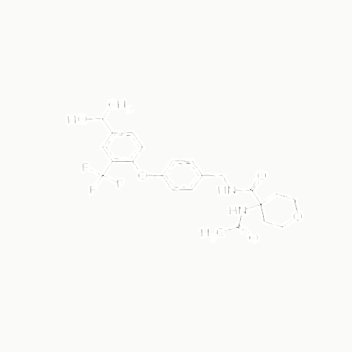 CC(=O)NC1(C(=O)NCc2ccc(Oc3ccc(C(C)O)cc3C(F)(F)F)cc2)CCOCC1